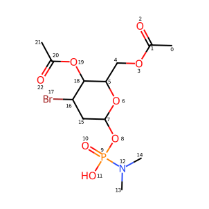 CC(=O)OCC1OC(OP(=O)(O)N(C)C)CC(Br)C1OC(C)=O